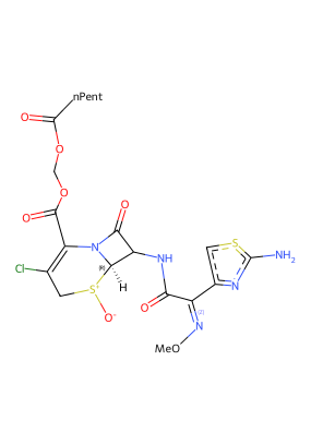 CCCCCC(=O)OCOC(=O)C1=C(Cl)C[S+]([O-])[C@@H]2C(NC(=O)/C(=N\OC)c3csc(N)n3)C(=O)N12